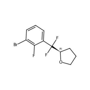 Fc1c(Br)cccc1C(F)(F)[C@H]1CCCO1